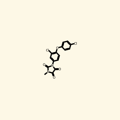 CN1C(=O)C(=O)N(c2ccc(Oc3ccc(Cl)cc3)c(Cl)c2)C1=O